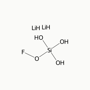 O[Si](O)(O)OF.[LiH].[LiH]